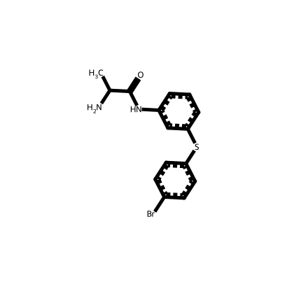 CC(N)C(=O)Nc1cccc(Sc2ccc(Br)cc2)c1